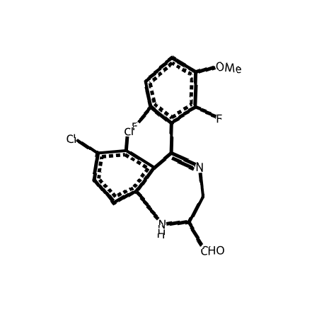 COc1ccc(F)c(C2=NCC(C=O)Nc3ccc(Cl)c(Cl)c32)c1F